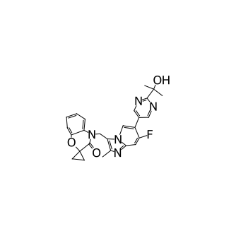 Cc1nc2cc(F)c(-c3cnc(C(C)(C)O)nc3)cn2c1CN1C(=O)C2(CC2)Oc2ccccc21